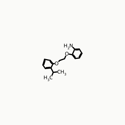 CC(C)c1ccccc1OCCOc1ccccc1N